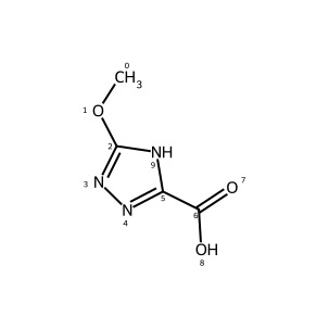 COc1nnc(C(=O)O)[nH]1